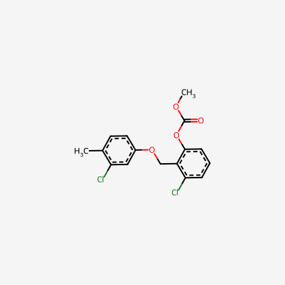 COC(=O)Oc1cccc(Cl)c1COc1ccc(C)c(Cl)c1